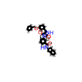 CC12CC(NC(=O)N1c1cccc(C(=O)NC3Cc4ccccc4C3)c1)c1cccc(OCc3ccccc3)c1O2